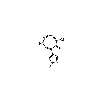 C=C1/C(c2cnn(C)c2)=C\N/N=C\C=C/1Cl